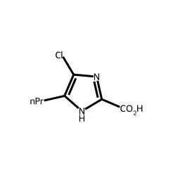 CCCc1[nH]c(C(=O)O)nc1Cl